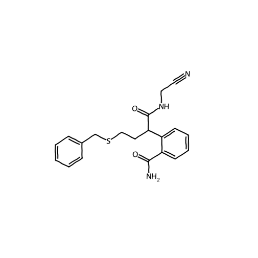 N#CCNC(=O)C(CCSCc1ccccc1)c1ccccc1C(N)=O